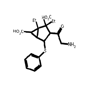 CCC1(C(=O)O)C(C(=O)CN)C(Sc2ccccc2)C2C(C(=O)O)C21CC